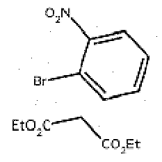 CCOC(=O)CC(=O)OCC.O=[N+]([O-])c1ccccc1Br